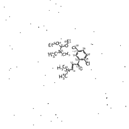 CCOC(OCC)N(C)C.CN(C)C=CC(=O)c1cc(Cl)ccc1Cl